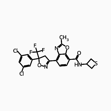 Cc1nc2c(C3=NOC(c4cc(Cl)cc(Cl)c4)(C(F)(F)F)C3)ccc(C(=O)NC3CSC3)c2o1